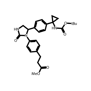 COC(=O)CCc1ccc(N2C(=O)NCC2c2ccc(C3(NC(=O)OC(C)(C)C)CC3)cc2)cc1